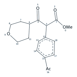 COC(=O)C(C(=O)C1CCOCC1)c1ccc(C(C)=O)cc1